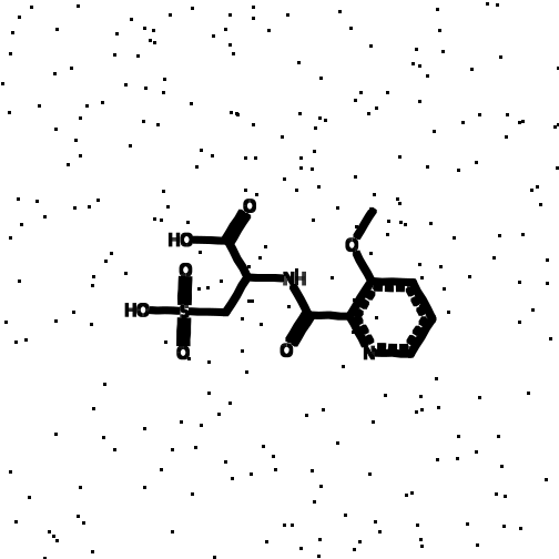 COc1cccnc1C(=O)NC(CS(=O)(=O)O)C(=O)O